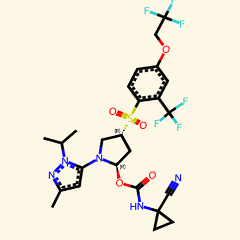 Cc1cc(N2C[C@H](S(=O)(=O)c3ccc(OCC(F)(F)F)cc3C(F)(F)F)C[C@H]2OC(=O)NC2(C#N)CC2)n(C(C)C)n1